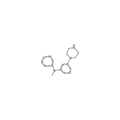 CN(c1ccccc1)c1cccc(N2CCNCC2)c1